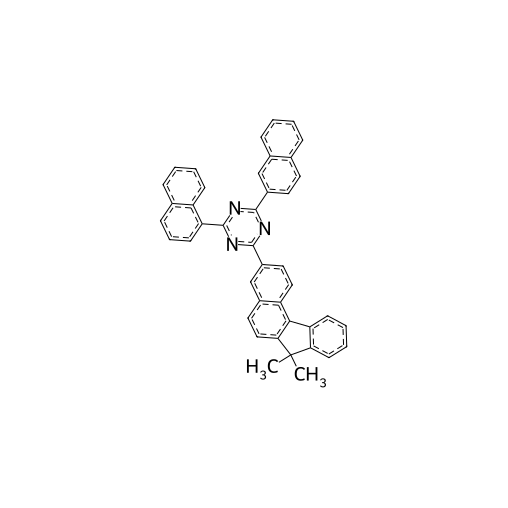 CC1(C)c2ccccc2-c2c1ccc1cc(-c3nc(-c4ccc5ccccc5c4)nc(-c4cccc5ccccc45)n3)ccc21